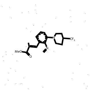 C=Nc1c(/C=C(\C)C(=O)OC)cccc1N1CCC(C(F)(F)F)CC1